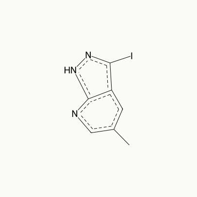 Cc1cnc2[nH]nc(I)c2c1